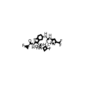 Cn1nc(C(F)F)cc1NC(=S)N[C@H]1CCc2sc(NC(=O)[C@H]3C[C@@H]3F)c(S(=O)(=O)N[C@H]3C[C@H](F)C3)c2C1